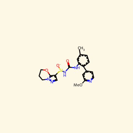 COc1cc(-c2ccc(C)cc2NC(=O)N[S+]([O-])c2cnn3c2OCCC3)ccn1